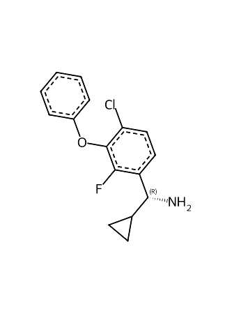 N[C@@H](c1ccc(Cl)c(Oc2ccccc2)c1F)C1CC1